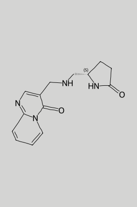 O=C1CC[C@@H](CNCc2cnc3ccccn3c2=O)N1